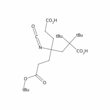 CC(C)(C)OC(=O)CCC(CCC(=O)O)(CC(C(=O)O)(C(C)(C)C)C(C)(C)C)N=C=O